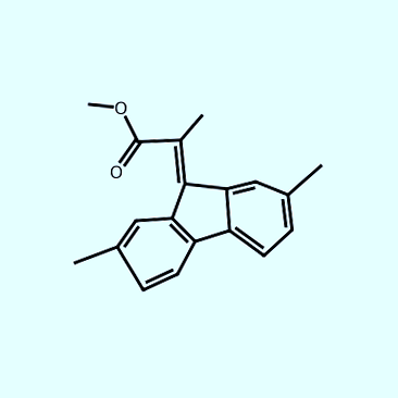 COC(=O)C(C)=C1c2cc(C)ccc2-c2ccc(C)cc21